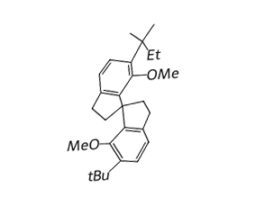 CCC(C)(C)c1ccc2c(c1OC)C1(CCc3ccc(C(C)(C)C)c(OC)c31)CC2